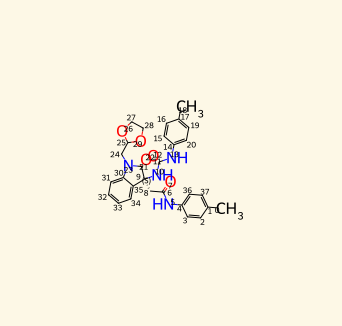 Cc1ccc(NC(=O)C[C@@]2(NC(=O)Nc3ccc(C)cc3)C(=O)N(CC3OCCO3)c3ccccc32)cc1